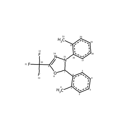 Cc1c[c]ccc1C1OC(C(F)(F)F)=NN1c1ccccc1C